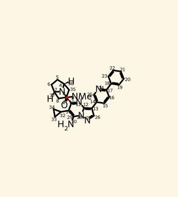 CNC(=O)N1[C@@H]2CC[C@H]1C[C@H](c1nc3c(-c4ccc(-c5ccccc5)nc4)cnn3c(N)c1C1CC1)C2